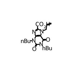 C=CCn1c(C(=O)O)nc2c1c(=O)n(CCCC)c(=O)n2CCCC